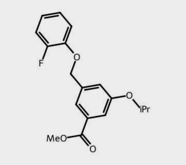 COC(=O)c1cc(COc2ccccc2F)cc(OC(C)C)c1